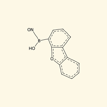 O=NB(O)c1cccc2c1oc1ccccc12